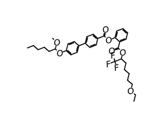 CCCCCC(OC)Oc1ccc(-c2ccc(C(=O)Oc3ccccc3C(=O)OC(CCCCCOCC)C(F)(F)F)cc2)cc1